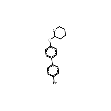 Brc1ccc(-c2ccc(OC3CCCCO3)cc2)cc1